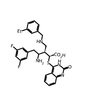 CCc1cccc(CNC[C@H](C(N)Cc2cc(F)cc(F)c2)[C@H](Sc2[nH]c(=O)nc3ccccc23)C(=O)O)c1